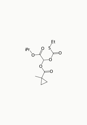 CCSC(=O)OC(OC(=O)C1(C)CC1)C(=O)OC(C)C